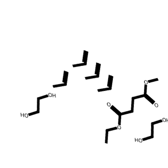 C=CC.C=CC.C=CC.C=CC.CCOC(=O)CCC(=O)OC.OCCO.OCCO